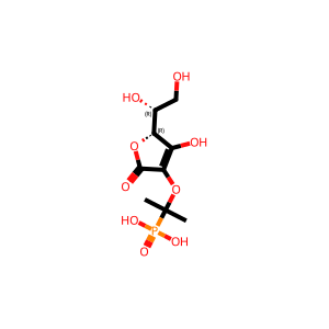 CC(C)(OC1=C(O)[C@@H]([C@H](O)CO)OC1=O)P(=O)(O)O